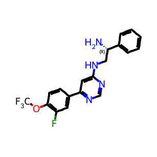 N[C@@H](CNc1cc(-c2ccc(OC(F)(F)F)c(F)c2)ncn1)c1ccccc1